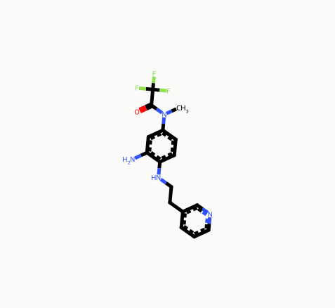 CN(C(=O)C(F)(F)F)c1ccc(NCCc2cccnc2)c(N)c1